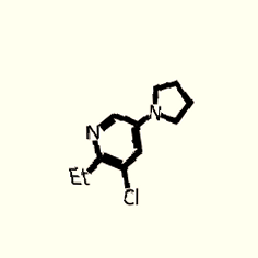 CCc1ncc(N2CCCC2)cc1Cl